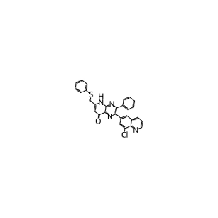 O=c1cc(CSc2ccccc2)[nH]c2nc(-c3ccccc3)c(-c3cc(Cl)c4ncccc4c3)nc12